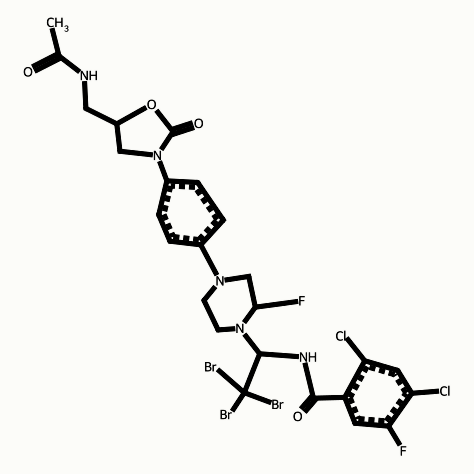 CC(=O)NCC1CN(c2ccc(N3CCN(C(NC(=O)c4cc(F)c(Cl)cc4Cl)C(Br)(Br)Br)C(F)C3)cc2)C(=O)O1